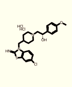 COc1ccc([C@H](O)CN2CCC(Cn3c(=N)sc4cc(Cl)ccc43)CC2)cc1.Cl.Cl